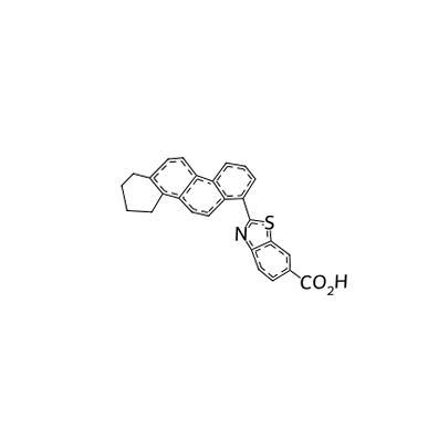 O=C(O)c1ccc2nc(-c3cccc4c3ccc3c5c(ccc34)CCCC5)sc2c1